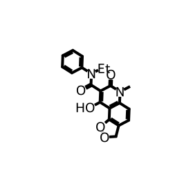 CCN(C(=O)c1c(O)c2c3c(ccc2n(C)c1=O)COO3)c1ccccc1